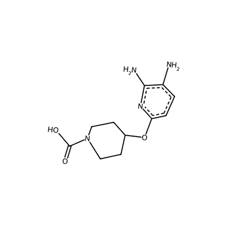 Nc1ccc(OC2CCN(C(=O)O)CC2)nc1N